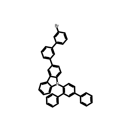 Brc1cccc(-c2cccc(-c3ccc4c(c3)c3ccccc3n4-c3ccc(-c4ccccc4)cc3-c3ccccc3)c2)c1